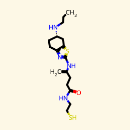 C=C(CCC(=O)NCCS)Nc1nc2c(s1)C[C@@H](NCCC)CC2